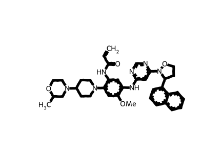 C=CC(=O)Nc1cc(Nc2cc(N3OCCC3c3cccc4ccccc34)ncn2)c(OC)cc1N1CCC(N2CCOC(C)C2)CC1